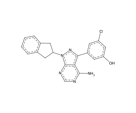 Nc1ncnc2c1c(-c1cc(O)cc(Cl)c1)nn2C1Cc2ccccc2C1